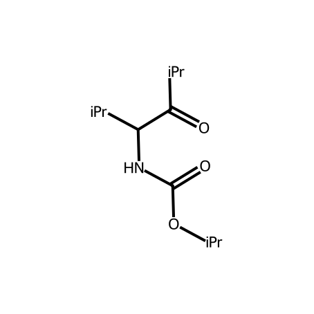 CC(C)OC(=O)NC(C(=O)C(C)C)C(C)C